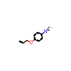 [C-]#[N+]c1ccc(OCC=C)cc1